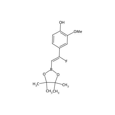 COc1cc(/C(F)=C/B2OC(C)(C)C(C)(C)O2)ccc1O